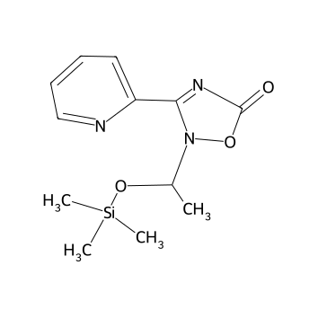 CC(O[Si](C)(C)C)n1oc(=O)nc1-c1ccccn1